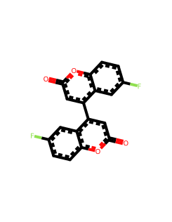 O=c1cc(-c2cc(=O)oc3ccc(F)cc23)c2cc(F)ccc2o1